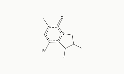 Cc1cc(C(C)C)c2n(c1=O)CC(C)C2C